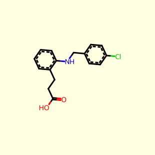 O=C(O)CCc1ccccc1NCc1ccc(Cl)cc1